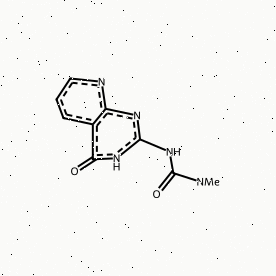 CNC(=O)Nc1nc2ncccc2c(=O)[nH]1